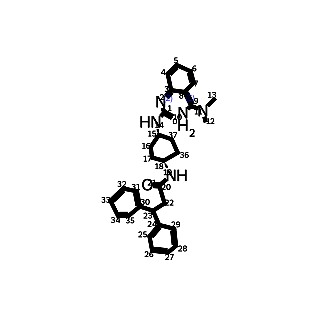 C=C(/N=C1/C=CC=C/C1=C(/N)N(C)C)N[C@H]1CC[C@@H](NC(=O)CC(c2ccccc2)c2ccccc2)CC1